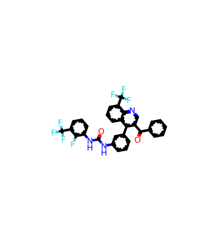 O=C(Nc1cccc(-c2c(C(=O)c3ccccc3)cnc3c(C(F)(F)F)cccc23)c1)Nc1cccc(C(F)(F)F)c1F